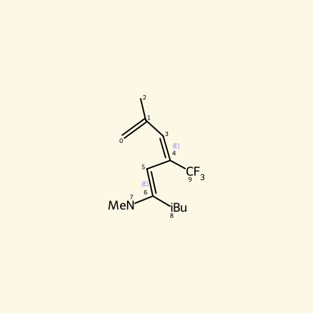 C=C(C)/C=C(\C=C(\NC)C(C)CC)C(F)(F)F